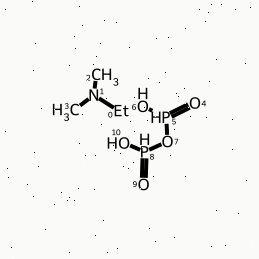 CCN(C)C.O=[PH](O)O[PH](=O)O